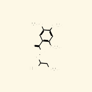 COC[C](C)OOC(=O)c1cc(OC)c(OC)cc1OC